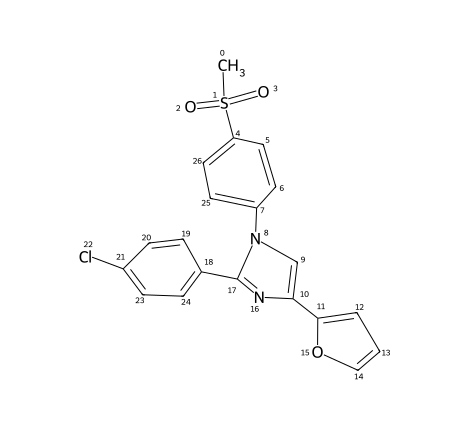 CS(=O)(=O)c1ccc(-n2cc(-c3ccco3)nc2-c2ccc(Cl)cc2)cc1